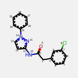 O=C(Cc1cccc(Cl)c1)Nc1ccn(-c2ccccc2)n1